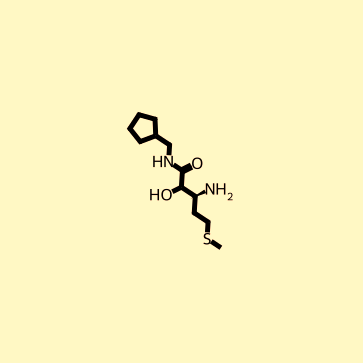 CSCC[C@H](N)C(O)C(=O)NCC1CCCC1